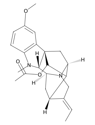 C/C=C1/CN2[C@H]3C[C@@]45c6cc(OC)ccc6N(C)[C@H]4[C@@H]2C[C@@H]1C3C5OC(C)=O